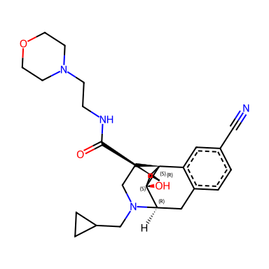 N#Cc1ccc2c(c1)[C@]13CCN(CC4CC4)[C@H](C2)[C@]1(O)C[C@H](C(=O)NCCN1CCOCC1)C3